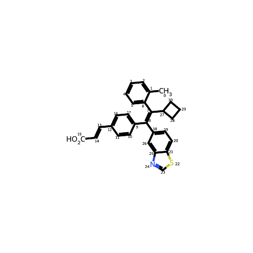 Cc1ccccc1C(=C(c1ccc(C=CC(=O)O)cc1)c1ccc2scnc2c1)C1CCC1